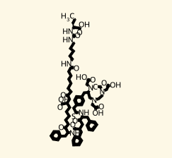 CCC[C@H](NC(=O)NCCCCCNC(=O)CCCCCCC(=O)CC(CCCCCC(=O)C(Cc1ccccc1)NC(=O)C(CC(=O)C(Cc1ccccc1)NC(=S)Cc1ccc(CC2CN(CC(=O)O)CCN(CC(=O)O)CCN2CC(=O)O)cc1)Cc1ccccc1)C(=O)O)C(=O)O